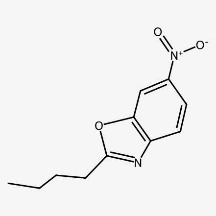 CCCCc1nc2ccc([N+](=O)[O-])cc2o1